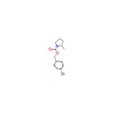 CC1CCCN1C(=O)OCc1ccc(Br)cc1